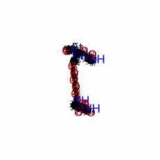 CCN(c1cc(-c2ccc(OCCOCCOCCOCCOCCNc3cccc4c3C(=O)N(C3CCC(=O)NC3=O)C4=O)cc2)cc(C(=O)NCc2c(C)cc(C)[nH]c2=O)c1C)C1CCOCC1